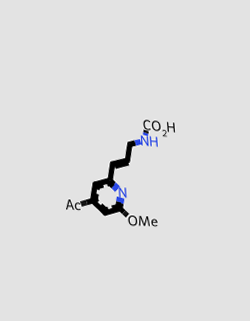 COc1cc(C(C)=O)cc(/C=C/CNC(=O)O)n1